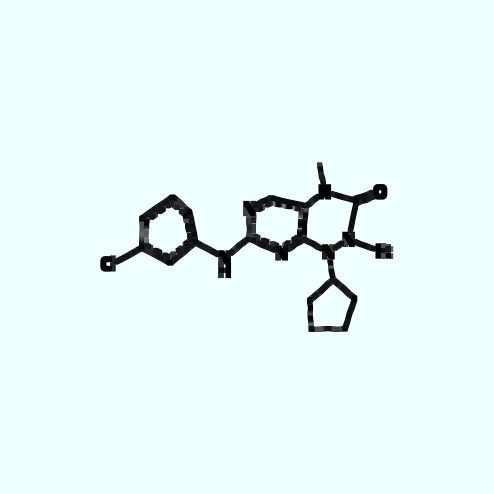 CCN1C(=O)N(C)c2cnc(Nc3cccc(Cl)c3)nc2N1C1CCCC1